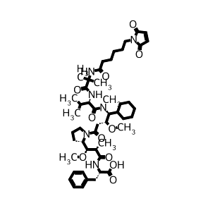 CO[C@H]([C@@H](C)C(=O)N[C@@H](Cc1ccccc1)C(=O)O)[C@@H]1CCCN1C(=O)C[C@@H](OC)[C@H](C1CCCCC1)N(C)C(=O)[C@@H](NC(=O)C(C)(C)NC(=O)CCCCCN1C(=O)C=CC1=O)C(C)C